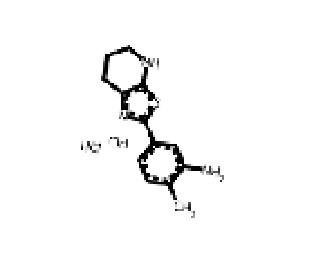 Cc1ccc(-c2nc3c(s2)NCCC3)cc1N.Cl.Cl